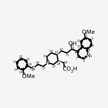 COc1ccc2nccc([C@H](O)CC[C@@H]3CCN(CCSc4ccccc4OC)C[C@@H]3CC(=O)O)c2c1